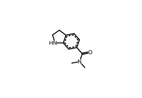 CN(C)C(=O)c1ccc2c(c1)NCC2